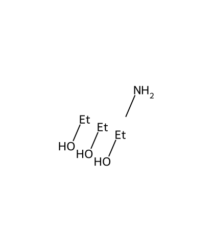 CCO.CCO.CCO.CN